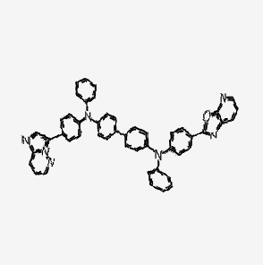 c1ccc(N(c2ccc(-c3ccc(N(c4ccccc4)c4ccc(-c5cnc6cccnn56)cc4)cc3)cc2)c2ccc(-c3nc4cccnc4o3)cc2)cc1